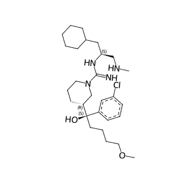 CNC[C@H](CC1CCCCC1)NC(=N)N1CCC[C@@H]([C@@](O)(CCCCOC)c2cccc(Cl)c2)C1